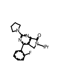 CC(C)N1Cc2c(nc(N3CCCC3)nc2-c2ccccc2F)C1=O